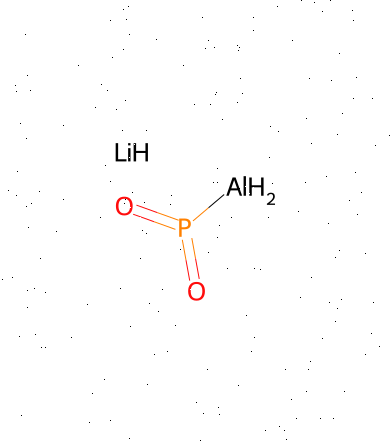 O=[P](=O)[AlH2].[LiH]